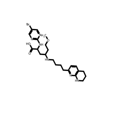 COCCC(CC(Nc1ncc(Br)cn1)C(=O)O)NCCCCc1ccc2c(n1)NCCC2